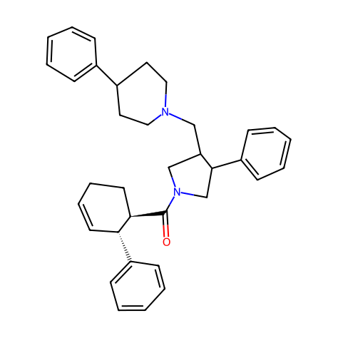 O=C([C@@H]1CCC=C[C@H]1c1ccccc1)N1CC(CN2CCC(c3ccccc3)CC2)C(c2ccccc2)C1